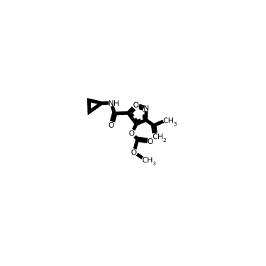 C=C(C)c1noc(C(=O)NC2CC2)c1OC(=O)OC